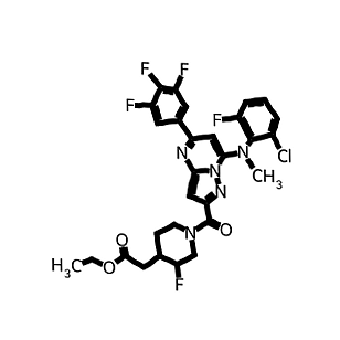 CCOC(=O)CC1CCN(C(=O)c2cc3nc(-c4cc(F)c(F)c(F)c4)cc(N(C)c4c(F)cccc4Cl)n3n2)CC1F